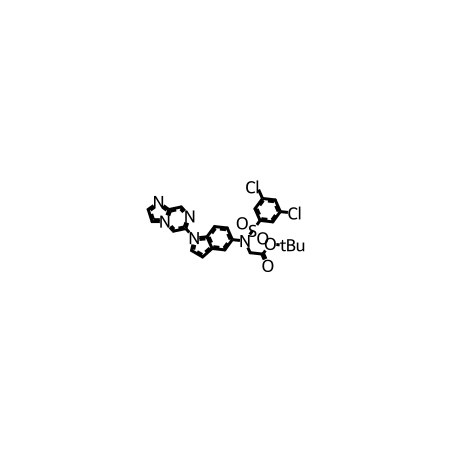 CC(C)(C)OC(=O)CN(c1ccc2c(ccn2-c2cn3ccnc3cn2)c1)S(=O)(=O)c1cc(Cl)cc(Cl)c1